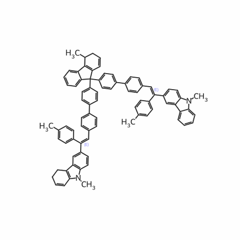 Cc1ccc(/C(=C\c2ccc(-c3ccc(C4(c5ccc(-c6ccc(/C=C(\c7ccc(C)cc7)c7ccc8c(c7)c7ccccc7n8C)cc6)cc5)C5=C(c6ccccc64)C(C)CC=C5)cc3)cc2)c2ccc3c(c2)c2c(n3C)C=CCC2)cc1